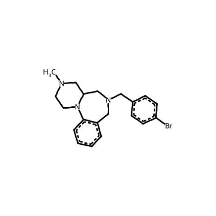 CN1CCN2c3ccccc3CN(Cc3ccc(Br)cc3)CC2C1